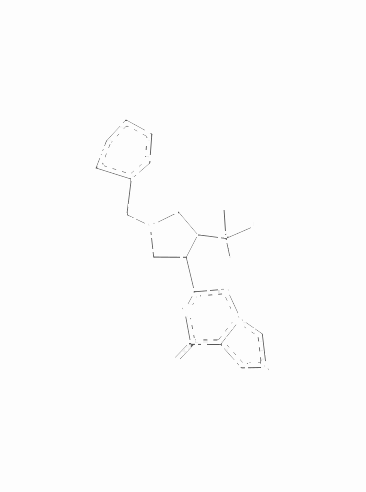 O=c1[nH]c(C2CN(Cc3ccccc3)CC2C(F)(F)F)nn2cncc12